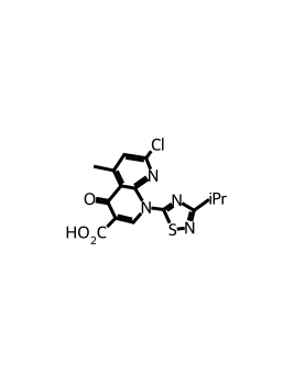 Cc1cc(Cl)nc2c1c(=O)c(C(=O)O)cn2-c1nc(C(C)C)ns1